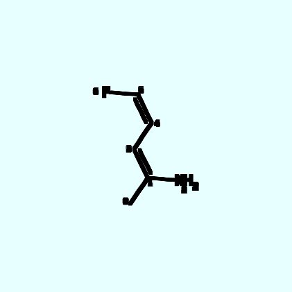 C/C(N)=C/C=C\F